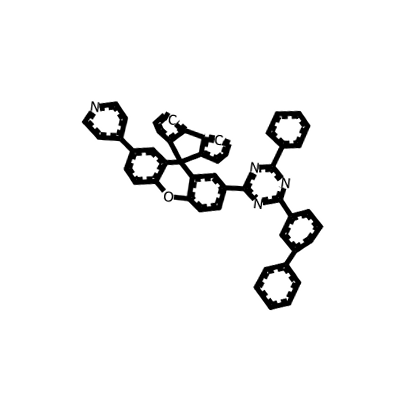 c1ccc(-c2cccc(-c3nc(-c4ccccc4)nc(-c4ccc5c(c4)C4(c6cc(-c7ccncc7)ccc6O5)c5ccccc5-c5ccccc54)n3)c2)cc1